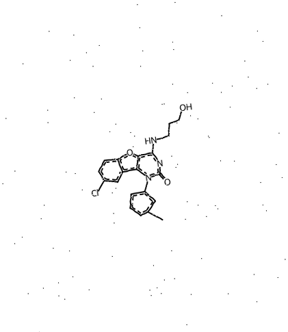 Cc1cccc(-n2c(=O)nc(NCCCO)c3oc4ccc(Cl)cc4c32)c1